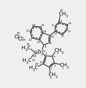 CC1=C(C)C(C)[C]([Zr+2]([CH]2C=C(c3cccc(C)c3)c3ccccc32)=[Si](C)C)=C1C.[Cl-].[Cl-]